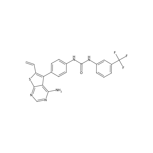 C=Cc1sc2ncnc(N)c2c1-c1ccc(NC(=O)Nc2cccc(C(F)(F)F)c2)cc1